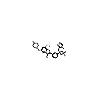 CN1CCN(Cc2cc3c(c(C(F)(F)F)c2)CN(c2cccc(C4(Cc5nncn5C)CC(F)(F)C4)c2)C3=O)CC1